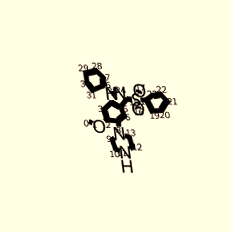 COc1cc2c(cc1N1CCNCC1)c(S(=O)(=O)c1ccccc1)nn2-c1ccccc1